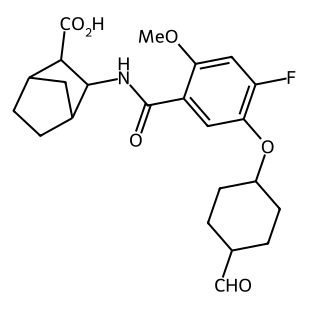 COc1cc(F)c(OC2CCC(C=O)CC2)cc1C(=O)NC1C2CCC(C2)C1C(=O)O